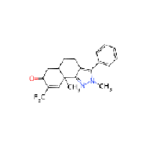 Cn1nc2c(c1-c1ccccc1)CCC1CC(=O)C(C(F)(F)F)=CC21C